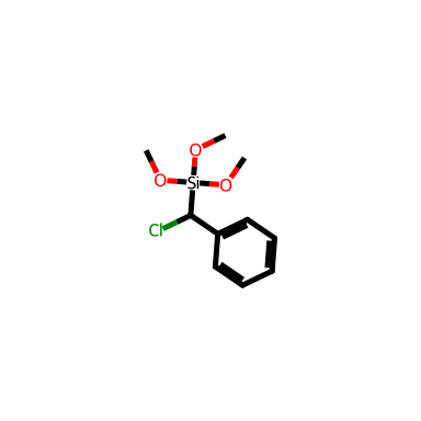 CO[Si](OC)(OC)C(Cl)c1ccccc1